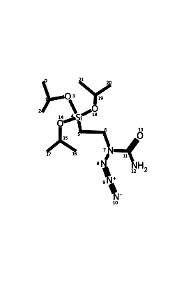 CC(C)O[Si](CCN(N=[N+]=[N-])C(N)=O)(OC(C)C)OC(C)C